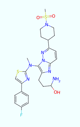 CN(c1nc(-c2ccc(F)cc2)cs1)c1c(CCC(N)O)nc2ccc(C3CCN(S(C)(=O)=O)CC3)nn12